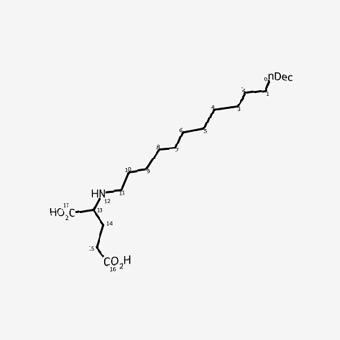 CCCCCCCCCCCCCCCCCCCCCNC(CCC(=O)O)C(=O)O